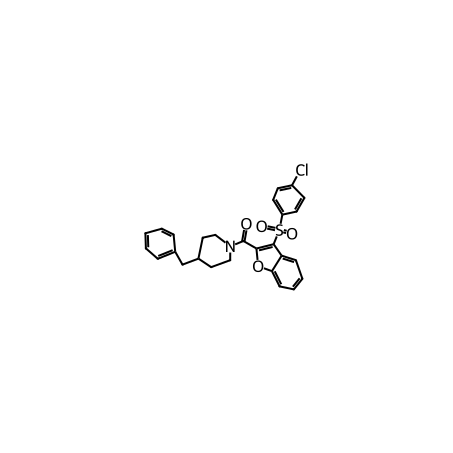 O=C(c1oc2ccccc2c1S(=O)(=O)c1ccc(Cl)cc1)N1CCC(Cc2ccccc2)CC1